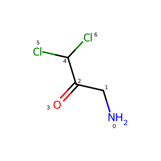 NCC(=O)C(Cl)Cl